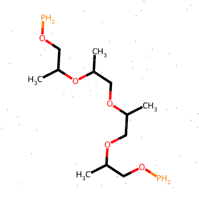 CC(COP)OCC(C)OCC(C)OC(C)COP